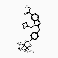 COC(=O)c1ccc2nc(Cc3ccc(B4OC(C)(C)C(C)(C)O4)cc3)n(C[C@@H]3CCO3)c2c1